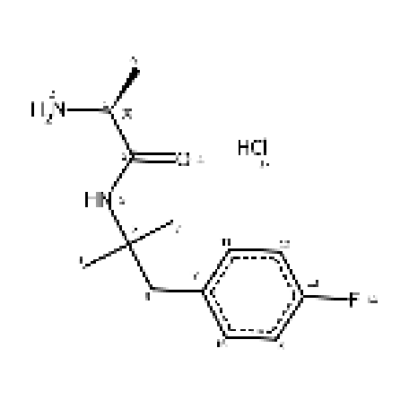 C[C@H](N)C(=O)NC(C)(C)Cc1ccc(F)cc1.Cl